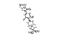 CC(=O)NCC1CN(c2cc(F)c(N3CCC4(CC3)CS(O)(O)C4)c(F)c2)C(=O)O1